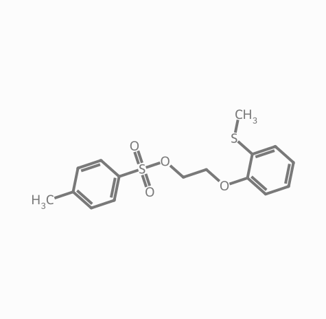 CSc1ccccc1OCCOS(=O)(=O)c1ccc(C)cc1